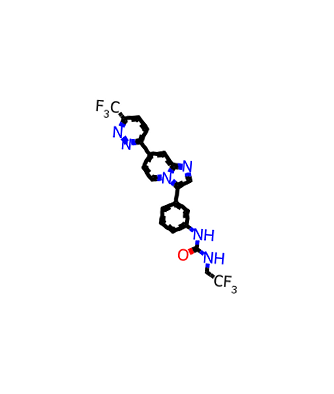 O=C(NCC(F)(F)F)Nc1cccc(-c2cnc3cc(-c4ccc(C(F)(F)F)nn4)ccn23)c1